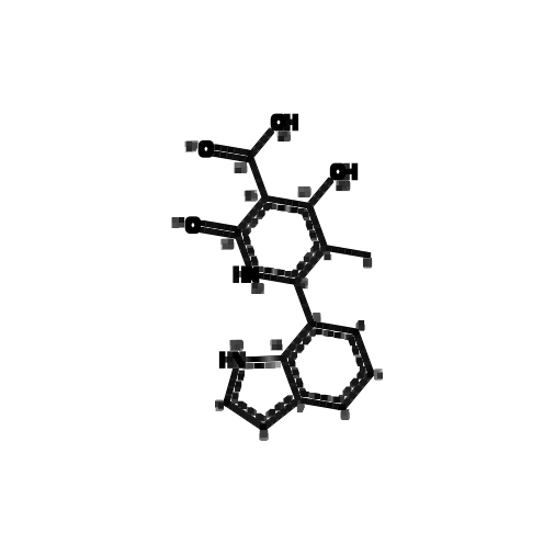 Cc1c(-c2cccc3cc[nH]c23)[nH]c(=O)c(C(=O)O)c1O